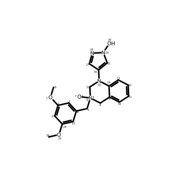 COc1cc(C[N+]2([O-])Cc3ccccc3N(c3cnn(O)c3)C2)cc(OC)c1